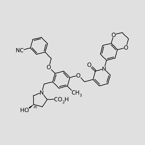 Cc1cc(CN2C[C@H](O)CC2C(=O)O)c(OCc2cccc(C#N)c2)cc1OCc1cccn(-c2ccc3c(c2)OCCO3)c1=O